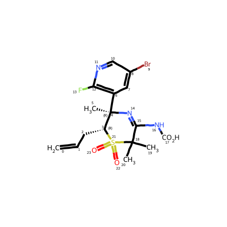 C=CC[C@@H]1[C@@](C)(c2cc(Br)cnc2F)N=C(NC(=O)O)C(C)(C)S1(=O)=O